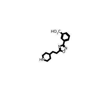 O=C(O)c1cccc(-c2noc(CCC3CCNCC3)n2)c1